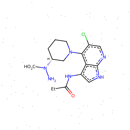 CCC(=O)Nc1c[nH]c2ncc(Cl)c(N3CCC[C@@H](N(N)C(=O)O)C3)c12